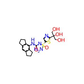 NS(=O)(=NC(=O)Nc1c2c(cc3c1CCC3)CCC2)c1cnc(C(O)(CO)CO)s1